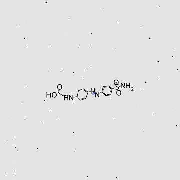 NS(=O)(=O)c1ccc(/N=N/C2=CCC(NCCC(=O)O)C=C2)cc1